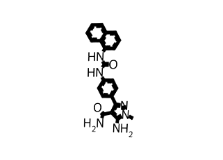 Cn1nc(-c2ccc(NC(=O)Nc3cccc4ccccc34)cc2)c(C(N)=O)c1N